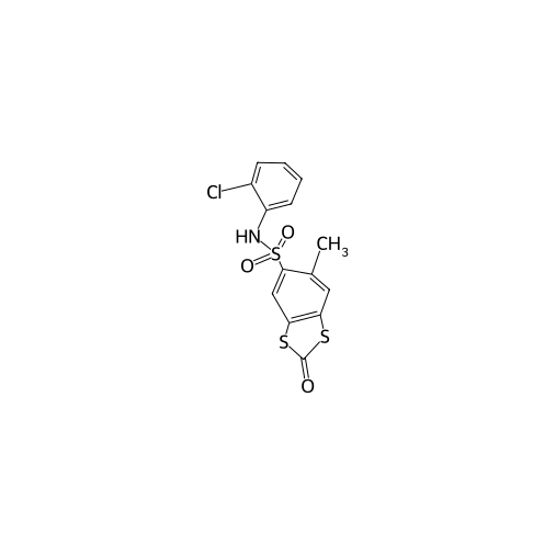 Cc1cc2sc(=O)sc2cc1S(=O)(=O)Nc1ccccc1Cl